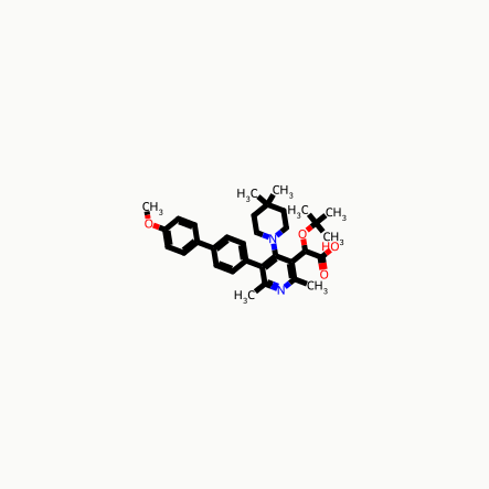 COc1ccc(-c2ccc(-c3c(C)nc(C)c(C(OC(C)(C)C)C(=O)O)c3N3CCC(C)(C)CC3)cc2)cc1